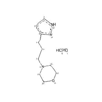 Cl.Cl.c1cc(CCCN2CCOCC2)n[nH]1